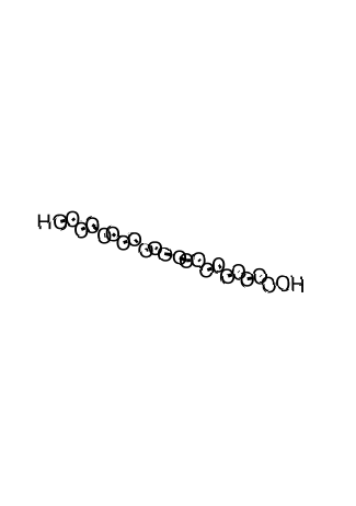 OOOOOOOOOOOOOOOOOOOOOO